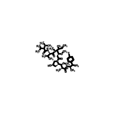 CCC(C)C([C@@H](CC(=O)N1C[C@@H](O)C[C@H]1[C@H](OC)[C@@H](C)C(=O)N[C@H](C)C(N)c1ccc(F)cc1)OC)N(C)C(=O)[C@@H](NC(=O)C(C(C)C)N(C)C)C(C)C